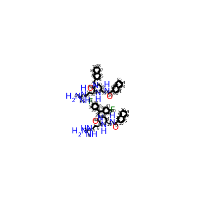 N=C(N)NCCC[C@@H]1N[C@H](CNC(=O)c2ccc3ccccc3c2)CCN(CC(c2ccc(F)cc2)c2ccc(F)cc2)C1=O.N=C(N)NCCC[C@@H]1N[C@H](CNC(=O)c2ccc3ccccc3c2)CCN(Cc2ccc3ccccc3c2)C1=O